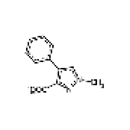 Cn1cc(-c2ccccc2)c(C(=O)[O-])n1.[Li+]